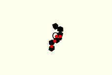 CC1(C)c2ccc(-c3cccc(-c4ccccc4)c3)cc2C(=O)c2cc(-c3cccc(-c4ccccc4)c3)ccc21